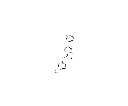 Fc1cccc(-c2ccc3c(Nc4ccc5scnc5c4)ncnc3c2)c1